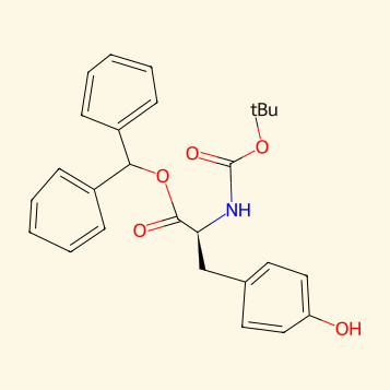 CC(C)(C)OC(=O)N[C@@H](Cc1ccc(O)cc1)C(=O)OC(c1ccccc1)c1ccccc1